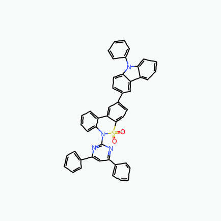 O=S1(=O)c2ccc(-c3ccc4c(c3)c3ccccc3n4-c3ccccc3)cc2-c2ccccc2N1c1nc(-c2ccccc2)cc(-c2ccccc2)n1